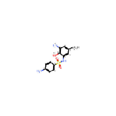 Nc1ccc(S(=O)(=O)Nc2cc(S(=O)(=O)O)cc(N)c2O)cc1